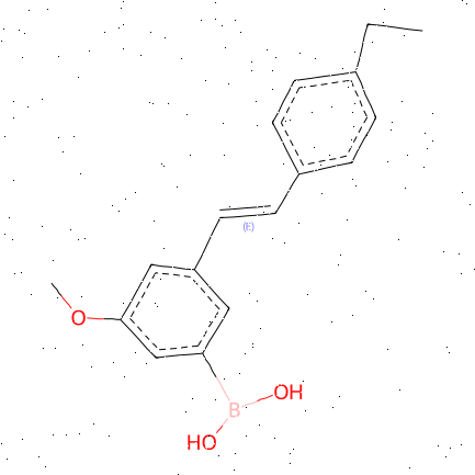 CCc1ccc(/C=C/c2cc(OC)cc(B(O)O)c2)cc1